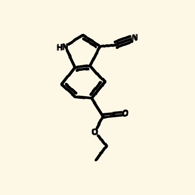 CCOC(=O)c1ccc2[nH]cc(C#N)c2c1